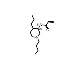 C=CC(=O)N[C@H]1CN(CCCC)CCC1CCC